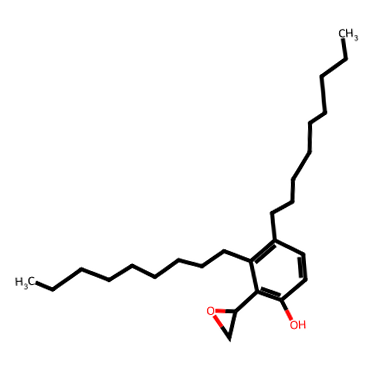 CCCCCCCCCc1ccc(O)c(C2CO2)c1CCCCCCCCC